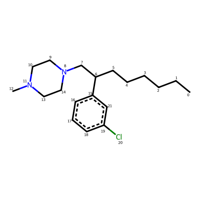 CCCCCCC(CN1CCN(C)CC1)c1cccc(Cl)c1